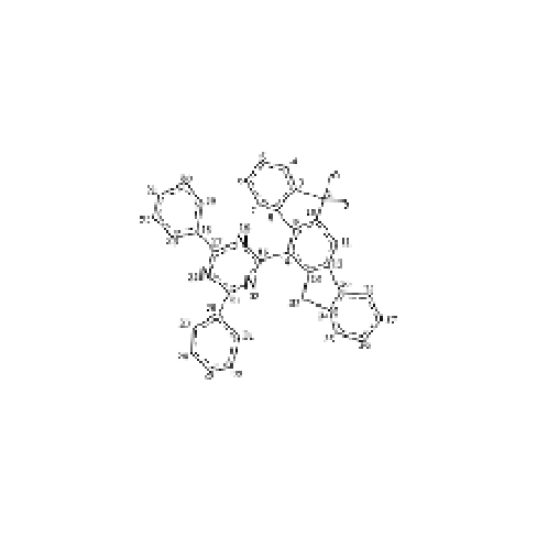 CC1(C)c2ccccc2-c2c1cc1c(c2-c2nc(-c3ccccc3)nc(-c3ccccc3)n2)Cc2ccccc2-1